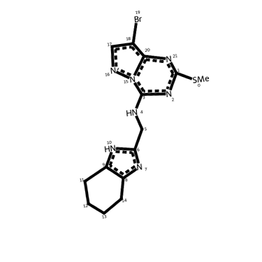 CSc1nc(NCc2nc3c([nH]2)CCCC3)n2ncc(Br)c2n1